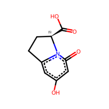 O=C(O)[C@@H]1CCc2cc(O)cc(=O)n21